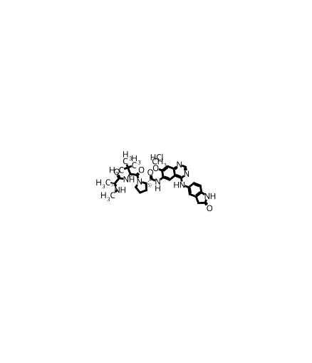 CN[C@@H](C)C(=O)N[C@H](C(=O)N1CCC[C@H]1C(=O)Nc1cc2c(Nc3ccc4c(c3)CC(=O)N4)ncnc2cc1OC)C(C)(C)C.Cl